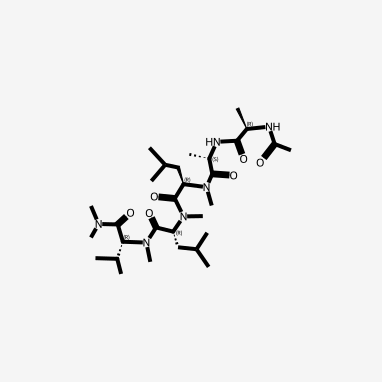 CC(=O)N[C@H](C)C(=O)N[C@@H](C)C(=O)N(C)[C@H](CC(C)C)C(=O)N(C)[C@H](CC(C)C)C(=O)N(C)[C@@H](C(=O)N(C)C)C(C)C